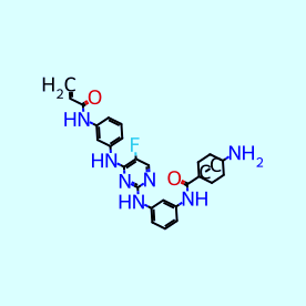 C=CC(=O)Nc1cccc(Nc2nc(Nc3cccc(NC(=O)C45CCC(N)(CC4)CC5)c3)ncc2F)c1